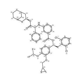 O=C(O[C@@H](Cc1c(Cl)cncc1Cl)c1ccc(OC(F)F)c(OCC2CC2)c1)c1cccc(NC(C(=O)O[C@@H]2CC3CCCN(C3)C2)c2ccccc2)c1